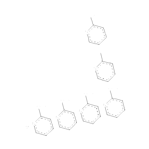 O=C([O-])c1ccccn1.O=C([O-])c1ccccn1.O=C([O-])c1ccccn1.O=C([O-])c1ccccn1.O=C([O-])c1ccccn1.O=C([O-])c1ccccn1.[Mo+6]